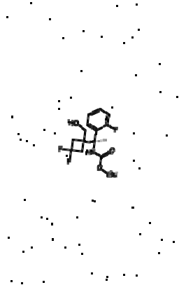 CC(C)(C)OC(=O)N[C@](C)(c1ccccc1F)C1(CO)CC(F)(F)C1